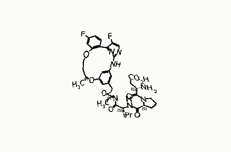 CC(C)[C@H](NC(=O)[C@@H]1CCCN1C(=O)[C@@H](N)CC(=O)O)C(=O)N=[S@](C)(=O)Cc1cc2cc(c1)O[C@H](C)CCOc1cc(F)ccc1-c1nc(ncc1F)N2